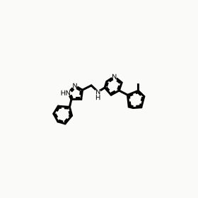 Cc1ccccc1-c1cncc(NCc2cc(-c3ccccc3)[nH]n2)c1